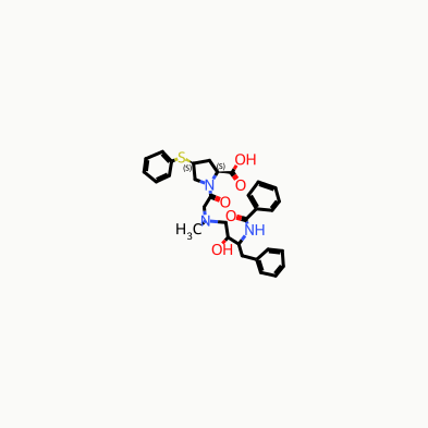 CN(CC(=O)N1C[C@@H](Sc2ccccc2)C[C@H]1C(=O)O)CC(O)C(Cc1ccccc1)NC(=O)c1ccccc1